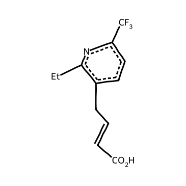 CCc1nc(C(F)(F)F)ccc1CC=CC(=O)O